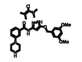 CC(C)=C(Cl)N(C)C.COc1cc(COc2cc(NC(=O)c3cccc(N4CCNCC4)c3)n[nH]2)cc(OC)c1